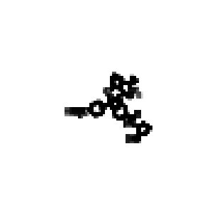 O=C(O)C1CC=C(c2nn(C(=O)c3c(Cl)cccc3C3(C(F)(F)F)CC3)c3c2CCC(C(=O)N[C@H]2CCCC2O)C3)CC1